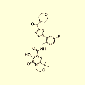 CC1(C)OCCn2c1nc(C(=O)NCc1ccc(F)cc1-n1cnc(C(=O)N3CCOCC3)n1)c(O)c2=O